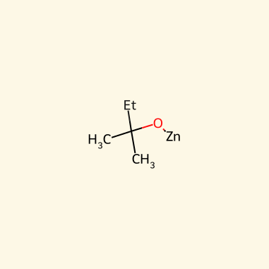 CCC(C)(C)[O][Zn]